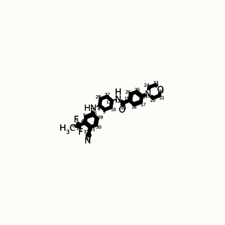 CC(F)(F)c1cc(N[C@H]2CC[C@@H](NC(=O)c3ccc(N4CCOCC4)cc3)CC2)ccc1C#N